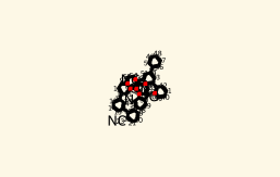 N#Cc1ccccc1-c1cccc2c3cccc(-c4ccccc4C#N)c3n(-c3cccc4c3C(=O)N(c3c(-c5ccccc5)cc(-c5ccccc5)cc3-c3ccccc3)C4=O)c12